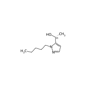 CCCCCn1nccc1[C@@H](C)O